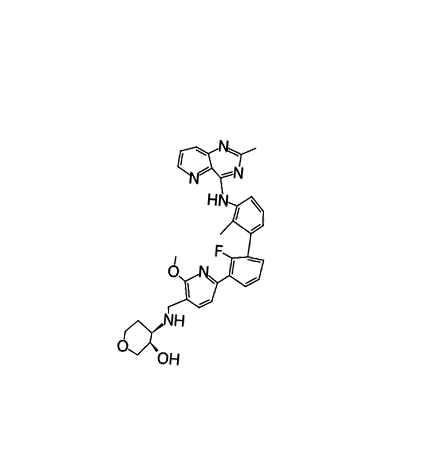 COc1nc(-c2cccc(-c3cccc(Nc4nc(C)nc5cccnc45)c3C)c2F)ccc1CN[C@@H]1CCOC[C@@H]1O